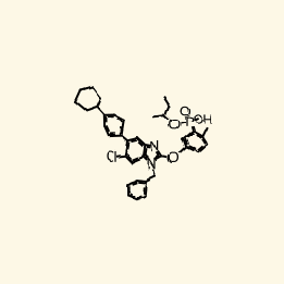 CCC(C)OP(=O)(O)c1cc(Oc2nc3cc(-c4ccc(C5CCCCC5)cc4)c(Cl)cc3n2Cc2ccccc2)ccc1C